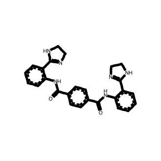 O=C(Nc1ccccc1C1=NCCN1)c1ccc(C(=O)Nc2ccccc2C2=NCCN2)cc1